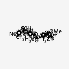 COCP(=O)(NC(C)C(=O)OC(C)C)Oc1ccc(COC(=O)N(C)C(=O)c2ccc(N3C(=S)N(c4ccc(C#N)c(C(F)(F)F)c4)C(=O)C3(C)C)cc2F)cc1